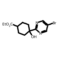 CCOC(=O)C1CCC(O)(c2ncc(Br)cn2)CC1